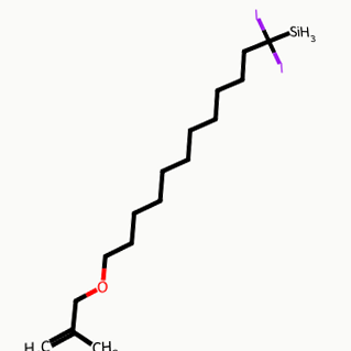 C=C(C)COCCCCCCCCCCCC([SiH3])(I)I